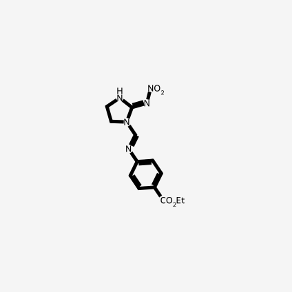 CCOC(=O)c1ccc(/N=C/N2CCN/C2=N\[N+](=O)[O-])cc1